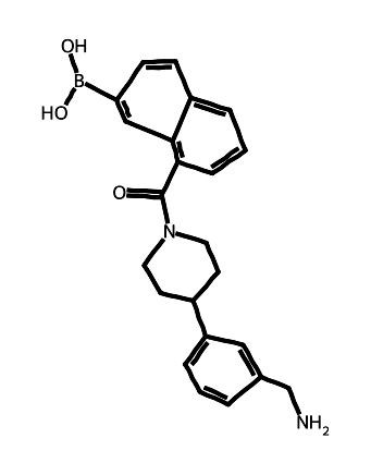 NCc1cccc(C2CCN(C(=O)c3cccc4ccc(B(O)O)cc34)CC2)c1